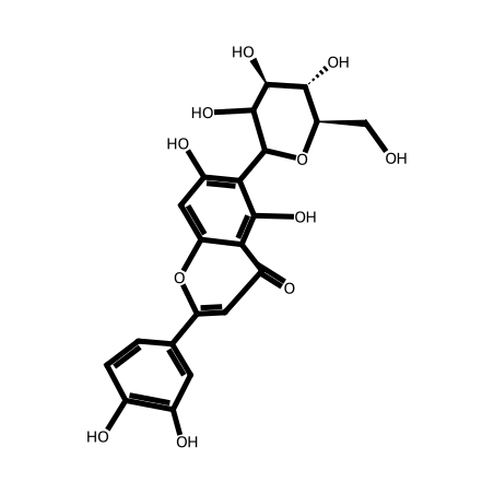 O=c1cc(-c2ccc(O)c(O)c2)oc2cc(O)c(C3O[C@H](CO)[C@@H](O)[C@H](O)C3O)c(O)c12